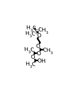 CC(O)OC(C)OC(C)OCCO[Si](C)(C)C